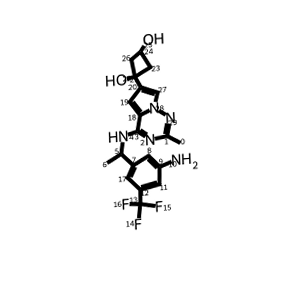 Cc1nc(NC(C)c2cc(N)cc(C(F)(F)F)c2)c2cc(C3(O)CC(O)C3)cn2n1